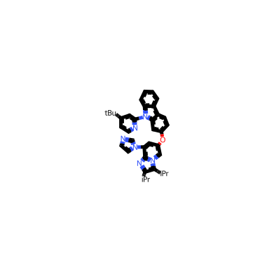 CC(C)c1nc2c(-n3ccnc3)cc(Oc3ccc4c5ccccc5n(-c5cc(C(C)(C)C)ccn5)c4c3)cn2c1C(C)C